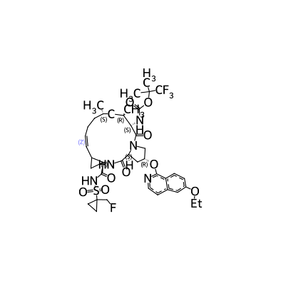 CCOc1ccc2c(O[C@@H]3C[C@H]4C(=O)N[C@]5(C(=O)NS(=O)(=O)C6(CF)CC6)CC5/C=C\CC[C@H](C)C[C@@H](C)[C@H](NC(=O)OC(C)(C)C(F)(F)F)C(=O)N4C3)nccc2c1